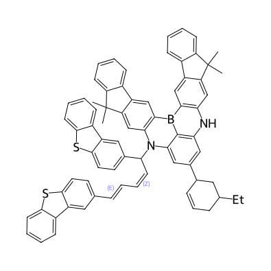 CCC1CC=CC(c2cc3c4c(c2)N(C(/C=C\C=C\c2ccc5sc6ccccc6c5c2)c2ccc5sc6ccccc6c5c2)c2cc5c(cc2B4c2cc4c(cc2N3)C(C)(C)c2ccccc2-4)-c2ccccc2C5(C)C)C1